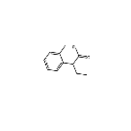 CCC(C(=O)Cl)c1ccccc1C